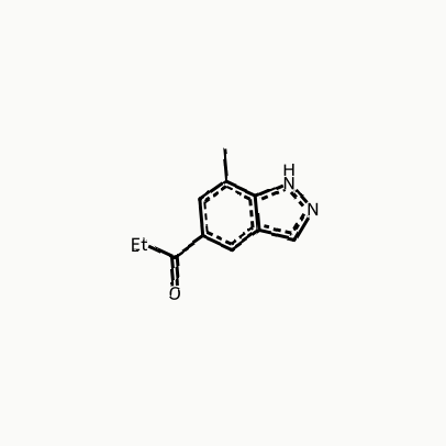 CCC(=O)c1cc(C)c2[nH]ncc2c1